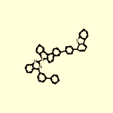 C1=CC(c2ccc(-c3ccc4c(ccc5c4c4ccccc4n5-c4nc(-c5cccc(-c6ccccc6)c5)c5ccccc5n4)c3)cc2)C2Sc3ccccc3C2=C1